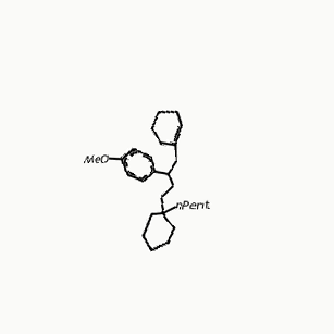 CCCCCC1(CCC(CC2=CCCCC2)c2ccc(OC)cc2)CCCCC1